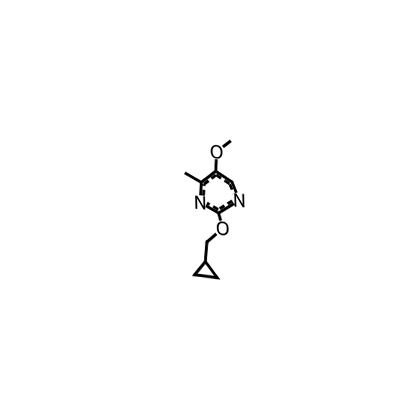 COc1cnc(OCC2CC2)nc1C